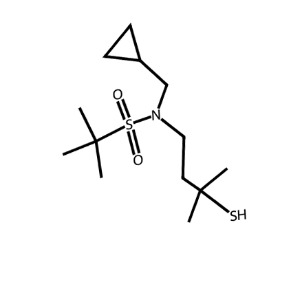 CC(C)(S)CCN(CC1CC1)S(=O)(=O)C(C)(C)C